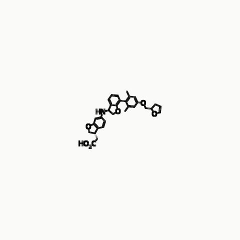 Cc1cc(OCC2CC=CO2)cc(C)c1-c1cccc2c1OC[C@H]2Nc1ccc2c(c1)OC[C@H]2CC(=O)O